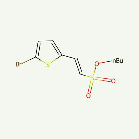 CCCCOS(=O)(=O)C=Cc1ccc(Br)s1